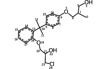 CC(CO)COc1ccc(C(C)(C)c2ccccc2OCC(O)CCl)cc1